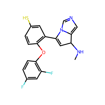 CNC1C=C(c2cc(S)ccc2Oc2ccc(F)cc2F)n2cncc21